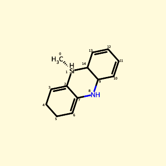 C[Si@H]1C2=CCCC=C2NC2C=CC=CC21